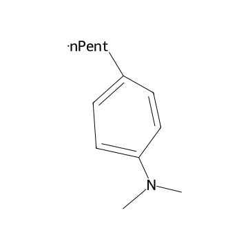 [CH2]CCC[CH]c1ccc(N(C)C)cc1